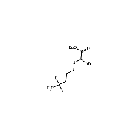 CC(C)COC(=O)C(SCCCC(F)(F)C(F)(F)F)C(C)C